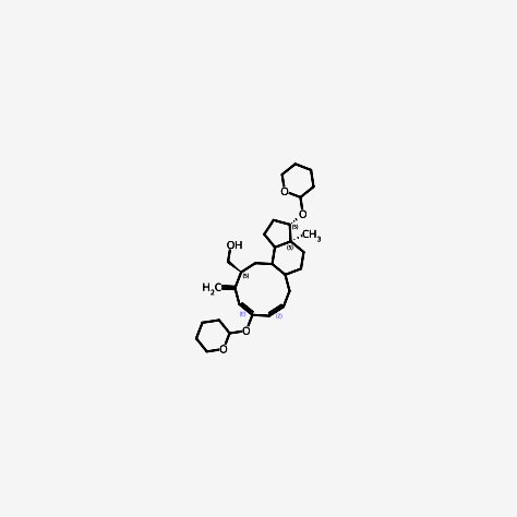 C=C1/C=C(OC2CCCCO2)\C=C/CC2CC[C@@]3(C)C(CC[C@@H]3OC3CCCCO3)C2C[C@@H]1CO